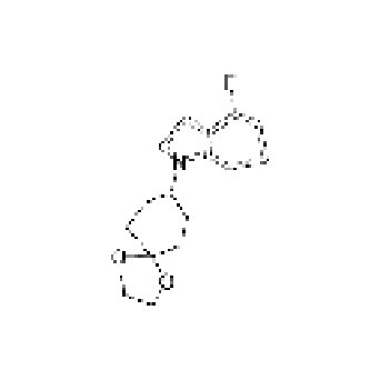 Fc1cccc2c1ccn2C1CCC2(CC1)OCCO2